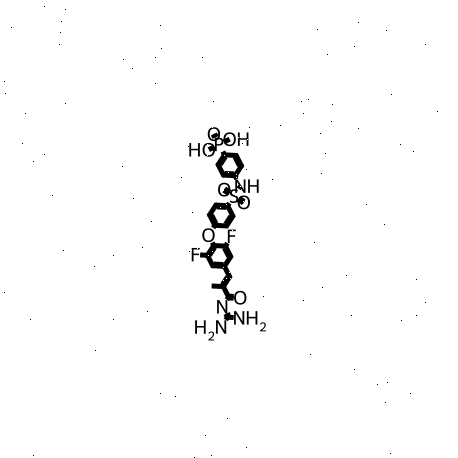 C/C(=C\c1cc(F)c(Oc2ccc(S(=O)(=O)Nc3ccc(P(=O)(O)O)cc3)cc2)c(F)c1)C(=O)N=C(N)N